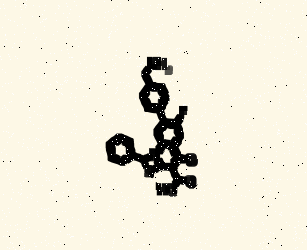 NCc1ccc(-c2cc3c(cc2F)c(=O)c(C(=O)O)c2n3C(c3ccccc3)S2)cc1